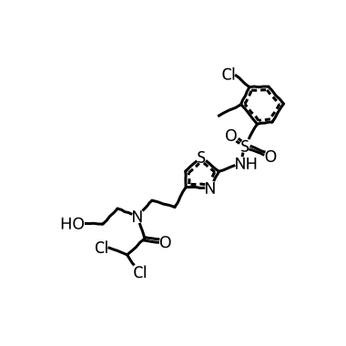 Cc1c(Cl)cccc1S(=O)(=O)Nc1nc(CCN(CCO)C(=O)C(Cl)Cl)cs1